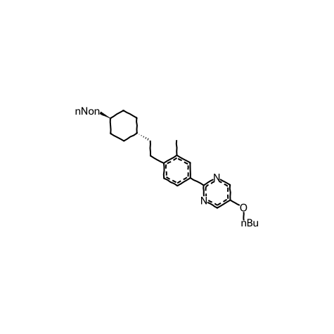 CCCCCCCCC[C@H]1CC[C@H](CCc2ccc(-c3ncc(OCCCC)cn3)cc2C)CC1